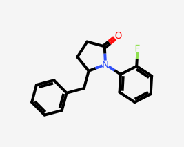 O=C1CCC(Cc2ccccc2)N1c1ccccc1F